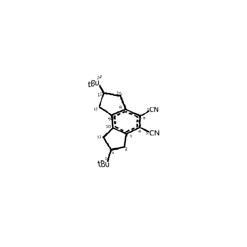 CC(C)(C)C1Cc2c(C#N)c(C#N)c3c(c2C1)CC(C(C)(C)C)C3